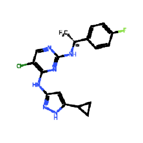 Fc1ccc([C@H](Nc2ncc(Cl)c(Nc3cc(C4CC4)[nH]n3)n2)C(F)(F)F)cc1